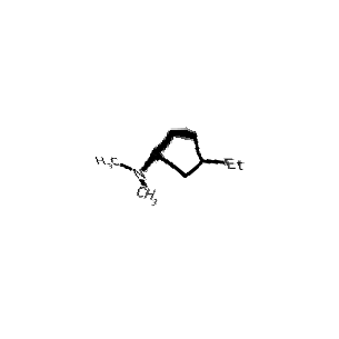 CCC1CCC(N(C)C)C1